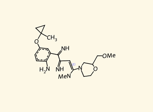 CN/C(=C\C(=N)C(=N)c1cc(OC2(C)CC2)ccc1N)N1CCOC(COC)C1